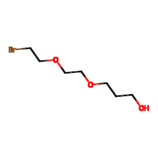 OCCCOCCOCCBr